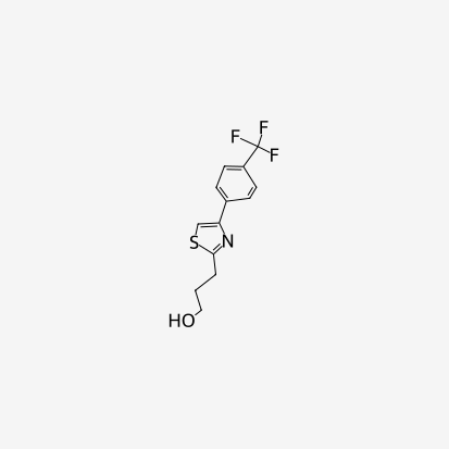 OCCCc1nc(-c2ccc(C(F)(F)F)cc2)cs1